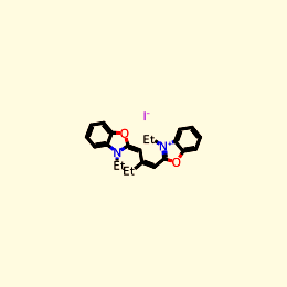 CCC(=Cc1oc2ccccc2[n+]1CC)C=C1Oc2ccccc2N1CC.[I-]